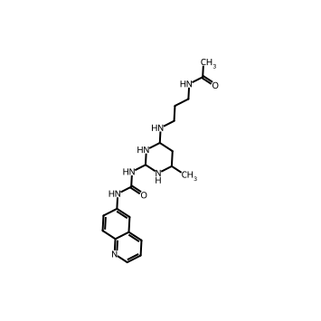 CC(=O)NCCCNC1CC(C)NC(NC(=O)Nc2ccc3ncccc3c2)N1